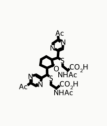 CC(=O)N[C@@H](CSC(c1cnc(C(C)=O)cn1)C1CCCC(C(SC[C@H](NC(C)=O)C(=O)O)c2cnc(C(C)=O)cn2)C1=O)C(=O)O